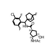 CC(=O)N[C@H]1C[C@@H](C(=O)NC(c2c(F)ccc(Cl)c2F)C23CCC(F)(CC2)C3)C[C@@H]1O